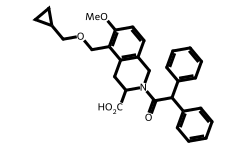 COc1ccc2c(c1COCC1CC1)CC(C(=O)O)N(C(=O)C(c1ccccc1)c1ccccc1)C2